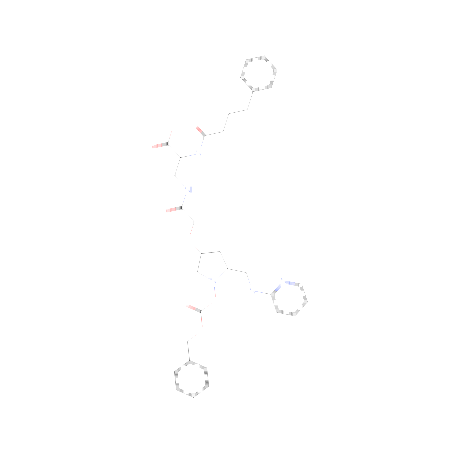 O=C(COC1CC(CNc2ccccn2)N(OC(=O)OCc2ccccc2)C1)NCC(NC(=O)CCCc1ccccc1)C(=O)O